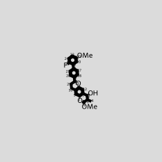 COC(=O)C(C)[C@@H](O)c1ccc2c(c1)OC(c1ccc(-c3cc(OC)ccc3F)cc1)CC2